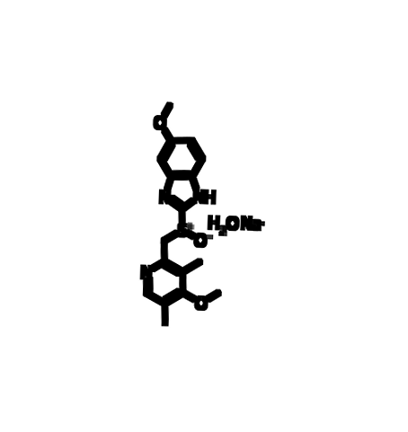 COc1ccc2[nH]c([S+]([O-])Cc3ncc(C)c(OC)c3C)nc2c1.O.[Na]